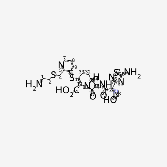 NCCSCc1ncccc1SC1=C(C(=O)O)N2C(=O)[C@@H](NC(=O)/C(=N\O)c3nsc(N)n3)[C@H]2CC1